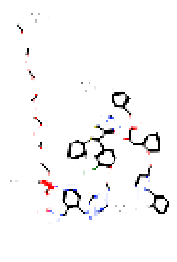 CNCC(=O)Nc1ccc(C[N+]2(C)CCN(CCOc3ccc(-c4c(-c5ccc(F)cc5)sc5ncnc(OC(Cc6ccccc6OCc6ccnc(-c7ccccc7OC)n6)C(=O)OCc6ccc(OC)cc6)c45)c(C)c3Cl)CC2)c(CN(C)C(=O)OCCOCCOCCOCCOCCOCCOCCOCCOC)c1